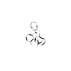 N#Cc1ccc(NC2CC3CCC2N3C(=O)c2cccc(F)c2-c2ncccn2)nc1